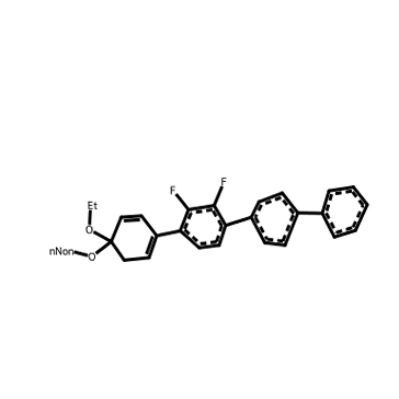 CCCCCCCCCOC1(OCC)C=CC(c2ccc(-c3ccc(-c4ccccc4)cc3)c(F)c2F)=CC1